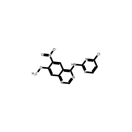 COc1cc2ncnc(Nc3nccc(Cl)n3)c2cc1[N+](=O)[O-]